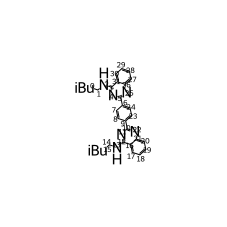 CCC(C)CNc1nc(-c2ccc(-c3nc(NCC(C)CC)c4ccccc4n3)cc2)nc2ccccc12